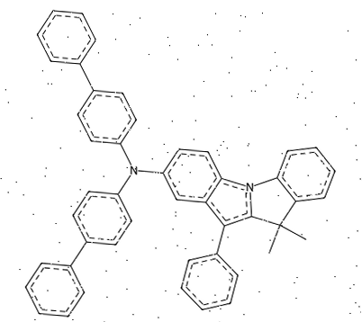 CC1(C)c2ccccc2-n2c1c(-c1ccccc1)c1cc(N(c3ccc(-c4ccccc4)cc3)c3ccc(-c4ccccc4)cc3)ccc12